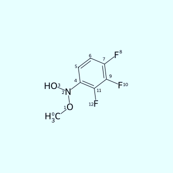 CON(O)c1ccc(F)c(F)c1F